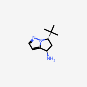 CC(C)(C)[C@@H]1C[C@@H](N)c2ccnn21